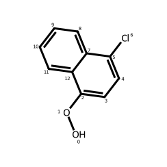 OOc1ccc(Cl)c2ccccc12